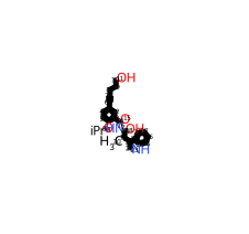 CC(C)Oc1ccc(C#CCCCO)cc1C(=O)N[C@H](O)C(C)c1c[nH]c2ccccc12